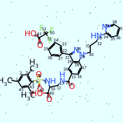 Cc1cc(C)c(S(=O)(=O)NC(CNC(=O)c2ccc3c(c2)c(-c2ccccc2)nn3CCCNc2ccccn2)C(=O)O)c(C)c1.O=C(O)C(F)(F)F